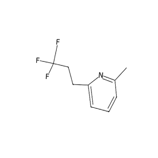 Cc1cccc(CCC(F)(F)F)n1